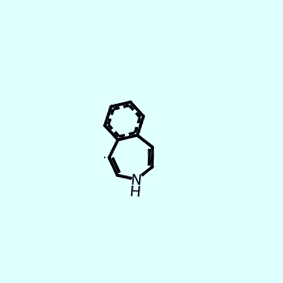 [C]1=CNC=Cc2ccccc21